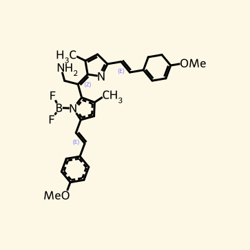 COC1=CC=C(/C=C/C2=NC(=C(/CN)c3c(C)cc(/C=C/c4ccc(OC)cc4)n3B(F)F)/C(C)=C2)CC1